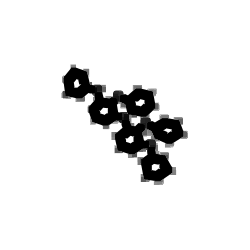 c1ccc(Oc2cccc(Oc3cccc(Oc4ccccc4)c3Oc3ccccc3)c2Oc2ccccc2)cc1